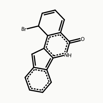 O=c1[nH]c2c(c3c1=CC=CC3Br)C=c1ccccc1=2